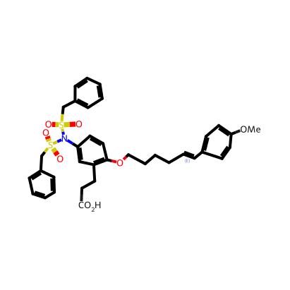 COc1ccc(/C=C/CCCCOc2ccc(N(S(=O)(=O)Cc3ccccc3)S(=O)(=O)Cc3ccccc3)cc2CCC(=O)O)cc1